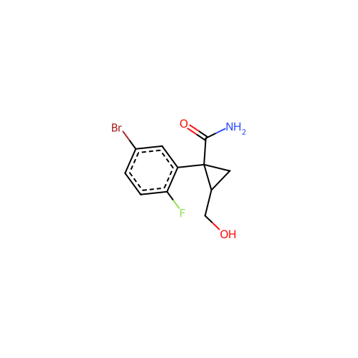 NC(=O)C1(c2cc(Br)ccc2F)CC1CO